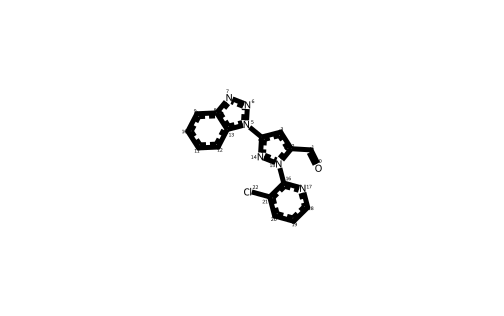 O=Cc1cc(-n2nnc3ccccc32)nn1-c1ncccc1Cl